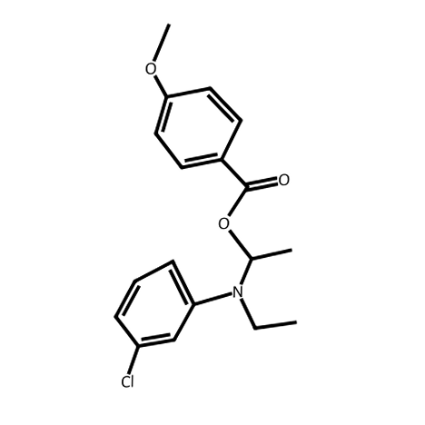 CCN(c1cccc(Cl)c1)C(C)OC(=O)c1ccc(OC)cc1